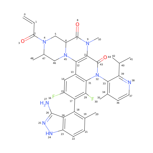 C=CC(=O)N1CC2C(=O)N(C)c3c(c4cc(F)c(-c5c(C)ccc6[nH]nc(N)c56)c(F)c4n(-c4c(C)ccnc4C(C)C)c3=O)N2CC1C